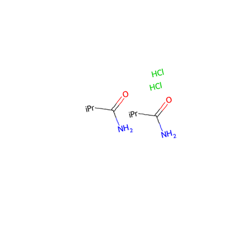 CC(C)C(N)=O.CC(C)C(N)=O.Cl.Cl